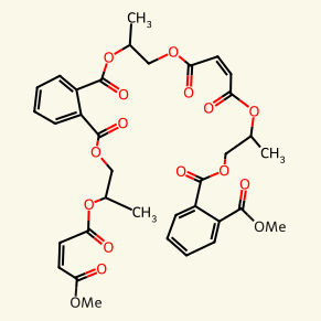 COC(=O)/C=C\C(=O)OC(C)COC(=O)c1ccccc1C(=O)OC(C)COC(=O)/C=C\C(=O)OC(C)COC(=O)c1ccccc1C(=O)OC